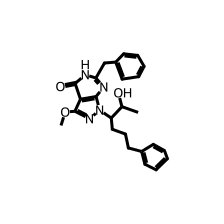 COc1nn(C(CCCc2ccccc2)C(C)O)c2nc(Cc3ccccc3)[nH]c(=O)c12